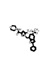 Cc1cc(C(=O)NN2CCOCC2)nn1Cc1cc(S(C)(=O)=O)cc2cc(-c3ccccc3)oc12